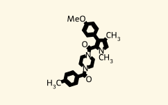 COc1ccc(-c2c(C)cn(C)c2C(=O)N2CCN(C(=O)c3ccc(C)cc3)CC2)cc1